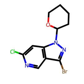 Clc1cc2c(cn1)c(Br)nn2C1CCCCO1